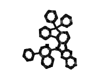 c1ccc(-c2cnc(-n3c4cc5ccccc5cc4c4ccc5c(c43)-c3ccccc3C5(c3ccccc3)c3ccccc3)c3ccccc23)cc1